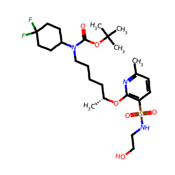 Cc1ccc(S(=O)(=O)NCCO)c(O[C@H](C)CCCCN(C(=O)OC(C)(C)C)C2CCC(F)(F)CC2)n1